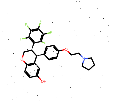 Oc1ccc2c(c1)[C@H](c1ccc(OCCN3CCCC3)cc1)[C@H](c1c(F)c(F)c(F)c(F)c1F)CO2